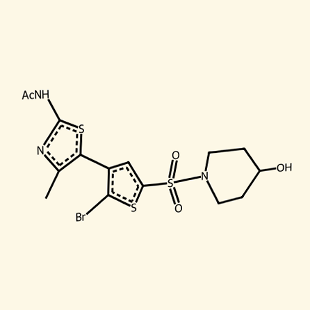 CC(=O)Nc1nc(C)c(-c2cc(S(=O)(=O)N3CCC(O)CC3)sc2Br)s1